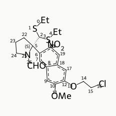 CCSC(SCC)[C@@]1(c2cc3cc(OC)c(OCCCl)cc3cc2[N+](=O)[O-])CCCN1C=O